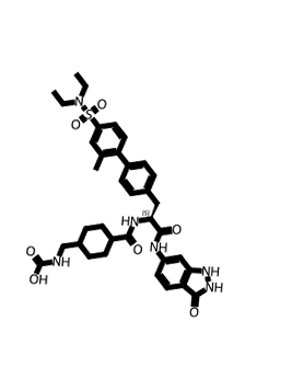 CCN(CC)S(=O)(=O)c1ccc(-c2ccc(C[C@H](NC(=O)C3CCC(CNC(=O)O)CC3)C(=O)Nc3ccc4c(=O)[nH][nH]c4c3)cc2)c(C)c1